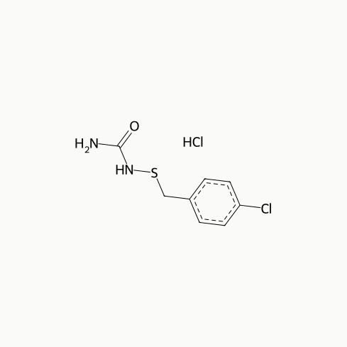 Cl.NC(=O)NSCc1ccc(Cl)cc1